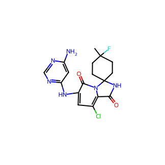 CC1(F)CCC2(CC1)NC(=O)c1c(Cl)cc(Nc3cc(N)ncn3)c(=O)n12